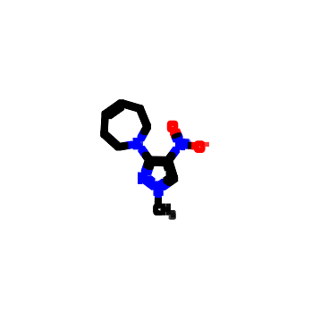 Cn1cc([N+](=O)[O-])c(N2CCC=CCC2)n1